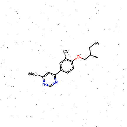 COc1cc(-c2ccc(OC[C@H](C)CC(C)C)c(C#N)c2)ncn1